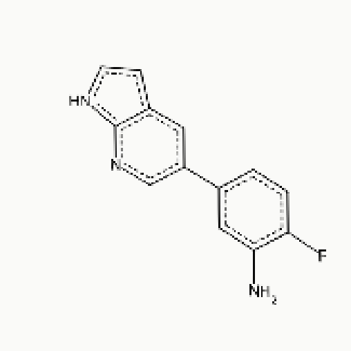 Nc1cc(-c2cnc3[nH]ccc3c2)ccc1F